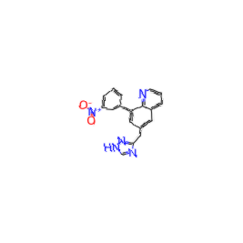 O=[N+]([O-])c1cccc(-c2cc(Cc3nc[nH]n3)cc3cccnc23)c1